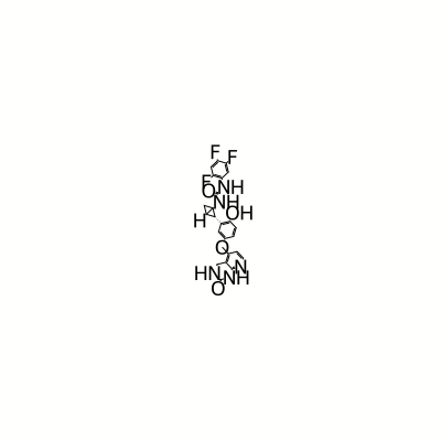 O=C1NCc2c(Oc3ccc(O)c([C@@H]4[C@@H]5C[C@@]45NC(=O)Nc4cc(F)c(F)cc4F)c3)ccnc2N1